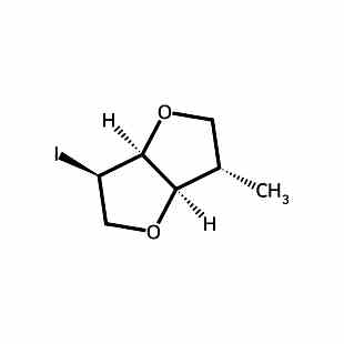 C[C@H]1CO[C@H]2[C@@H]1OC[C@H]2I